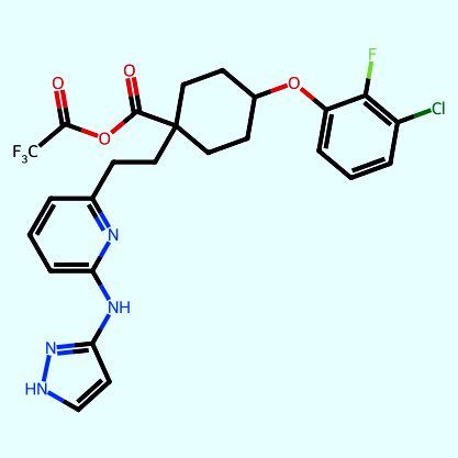 O=C(OC(=O)C1(CCc2cccc(Nc3cc[nH]n3)n2)CCC(Oc2cccc(Cl)c2F)CC1)C(F)(F)F